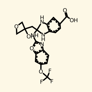 O=C(O)c1ccc2c(c1)NC(CC1(O)COC1)(Nc1nc3ccc(OC(F)(F)F)cc3o1)N2